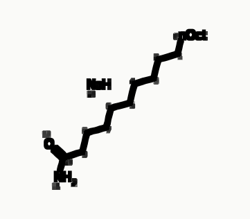 CCCCCCCCCCCCCCCCCC(N)=O.[NaH]